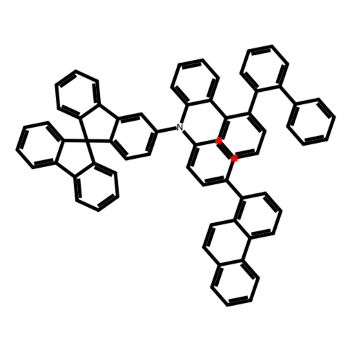 c1ccc(-c2ccccc2-c2ccccc2-c2ccccc2N(c2ccc(-c3cccc4c3ccc3ccccc34)cc2)c2ccc3c(c2)-c2ccccc2C32c3ccccc3-c3ccccc32)cc1